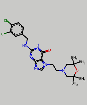 BC1(B)CN(CCn2cnc3nc(NCc4ccc(Cl)c(Cl)c4)[nH]c(=O)c32)CC(B)(B)O1